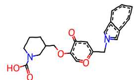 O=C(O)N1CCCC(COc2coc(Cn3cc4ccccc4c3)cc2=O)C1